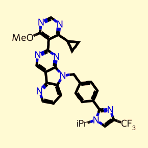 COc1ncnc(C2CC2)c1-c1ncc2c3ncccc3n(Cc3ccc(-c4nc(C(F)(F)F)cn4C(C)C)cc3)c2n1